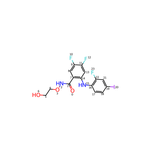 O=C(NOCCO)c1cc(F)c(F)cc1Nc1ccc(I)cc1F